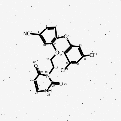 N#Cc1ccc(Oc2cc(Cl)cc(Cl)c2)c(OCCn2c(=O)cc[nH]c2=O)c1